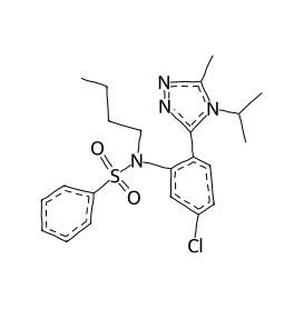 CCCCN(c1cc(Cl)ccc1-c1nnc(C)n1C(C)C)S(=O)(=O)c1ccccc1